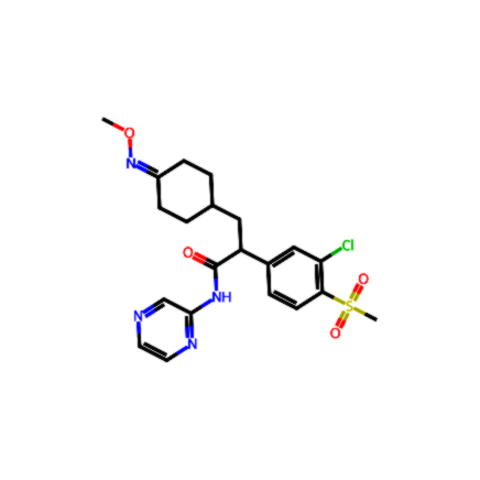 CON=C1CCC(CC(C(=O)Nc2cnccn2)c2ccc(S(C)(=O)=O)c(Cl)c2)CC1